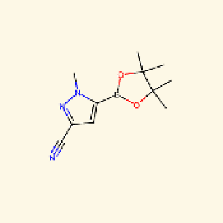 Cn1nc(C#N)cc1B1OC(C)(C)C(C)(C)O1